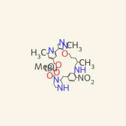 COC(=O)c1cc(C)nc(-c2cnn(C)c2OCCCC(C)CNc2cc(CC3CNCCN3C(=O)OC(C)(C)C)ccc2[N+](=O)[O-])c1